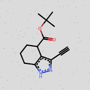 C#Cc1n[nH]c2c1C(C(=O)OC(C)(C)C)CCC2